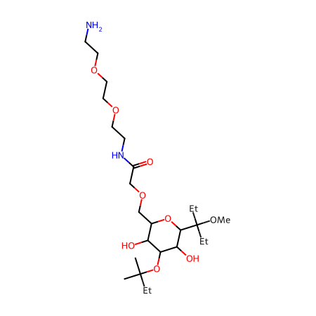 CCC(C)(C)OC1C(O)C(COCC(=O)NCCOCCOCCN)OC(C(CC)(CC)OC)C1O